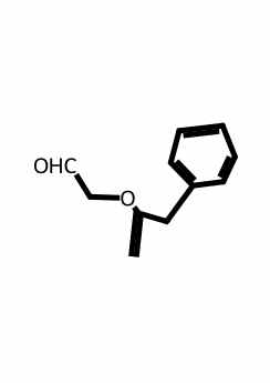 C=C(Cc1ccccc1)OCC=O